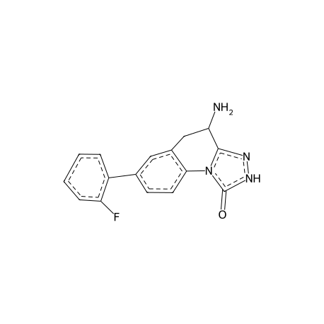 NC1Cc2cc(-c3ccccc3F)ccc2-n2c1n[nH]c2=O